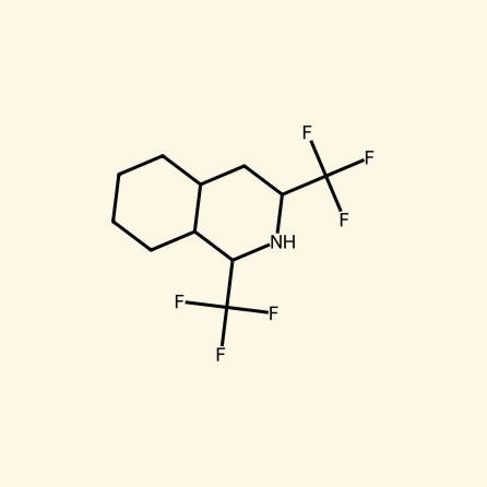 FC(F)(F)C1CC2CCCCC2C(C(F)(F)F)N1